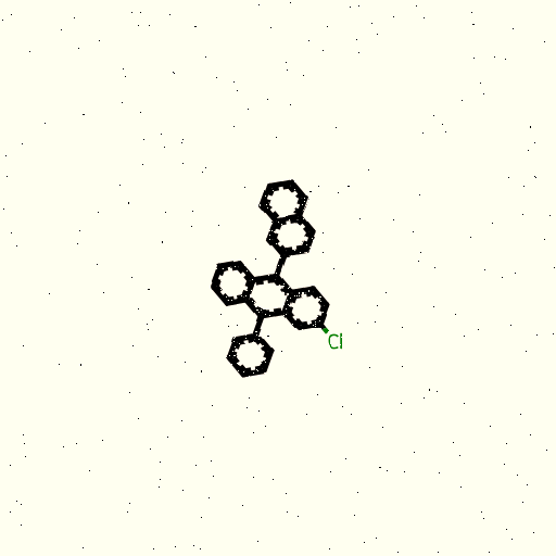 Clc1ccc2c(-c3ccc4ccccc4c3)c3ccccc3c(-c3ccccc3)c2c1